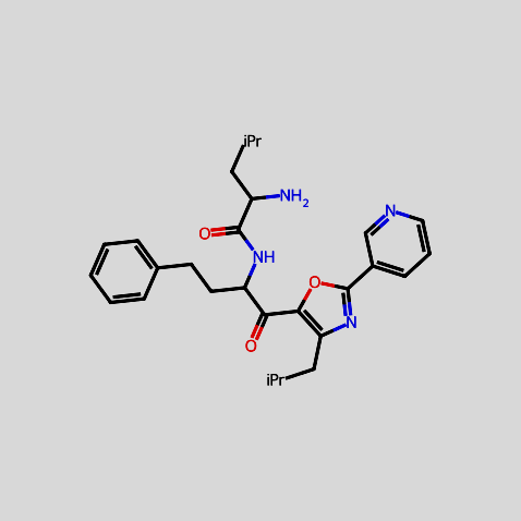 CC(C)Cc1nc(-c2cccnc2)oc1C(=O)C(CCc1ccccc1)NC(=O)C(N)CC(C)C